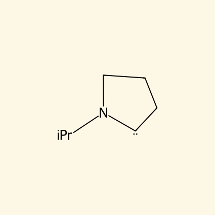 CC(C)N1[C]CCC1